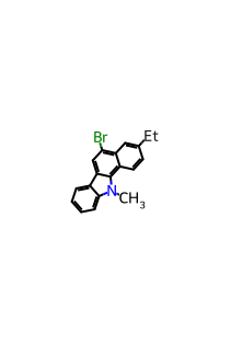 CCc1ccc2c(c1)c(Br)cc1c3ccccc3n(C)c21